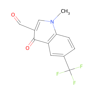 Cn1cc(C=O)c(=O)c2cc(C(F)(F)F)ccc21